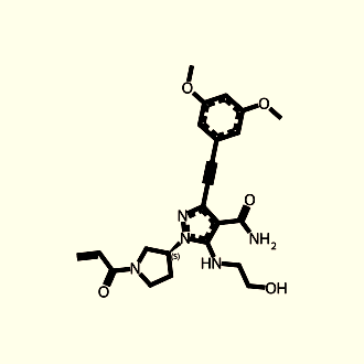 C=CC(=O)N1CC[C@H](n2nc(C#Cc3cc(OC)cc(OC)c3)c(C(N)=O)c2NCCO)C1